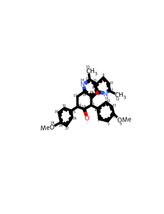 COc1ccc(C(Cc2cccc(C)n2)C(=O)C(Cc2cccc(C)n2)c2ccc(OC)cc2)cc1